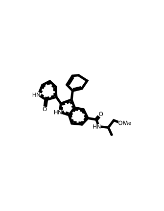 COCC(C)NC(=O)c1ccc2[nH]c(-c3ccc[nH]c3=O)c(C3=CCCC=C3)c2c1